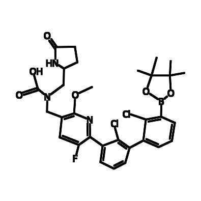 COc1nc(-c2cccc(-c3cccc(B4OC(C)(C)C(C)(C)O4)c3Cl)c2Cl)c(F)cc1CN(CC1CCC(=O)N1)C(=O)O